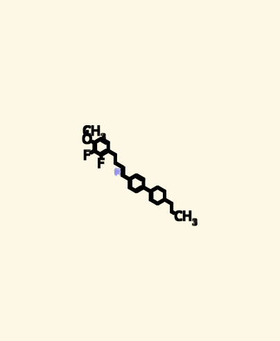 CCCC1CC=C(c2ccc(/C=C/CCc3ccc(OC)c(F)c3F)cc2)CC1